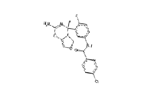 C[C@]1(c2cc(NC(=O)c3ccc(Cl)cn3)ccc2F)N=C(N)OC2=COCC21